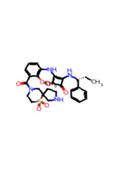 CC[C@@H](Nc1c(Nc2cccc(C(=O)N3CCS(=O)(=O)C4(CCNC4)C3)c2OC)c(=O)c1=O)c1ccccc1